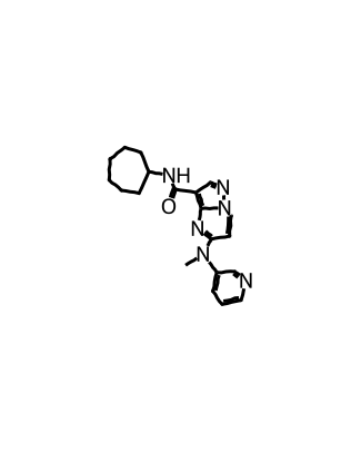 CN(c1cccnc1)c1ccn2ncc(C(=O)NC3CCCCCC3)c2n1